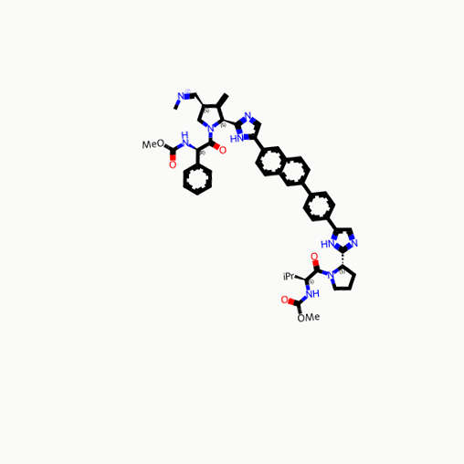 C=C1[C@H](/C=N\C)CN(C(=O)[C@H](NC(=O)OC)c2ccccc2)[C@@H]1c1ncc(-c2ccc3cc(-c4ccc(-c5cnc([C@@H]6CCCN6C(=O)[C@@H](NC(=O)OC)C(C)C)[nH]5)cc4)ccc3c2)[nH]1